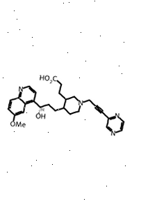 COc1ccc2nccc([C@@H](O)CCC3CCN(CC#Cc4cnccn4)CC3CCC(=O)O)c2c1